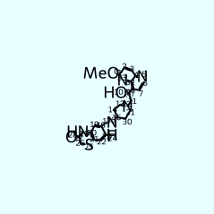 COc1ccc2nccc([C@@H](O)CN3CCC(NCc4cc5c(cc4F)SCC(=O)N5)CC3)c2n1